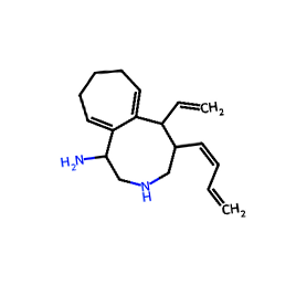 C=C/C=C\C1CNCC(N)C2=CCCCC=C2C1C=C